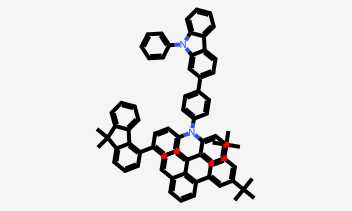 CC(C)(C)c1cc(-c2cccc3cccc(-c4ccccc4N(c4ccc(-c5ccc6c7ccccc7n(-c7ccccc7)c6c5)cc4)c4ccc(-c5cccc6c5-c5ccccc5C6(C)C)cc4)c23)cc(C(C)(C)C)c1